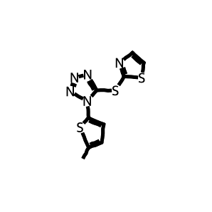 Cc1ccc(-n2nnnc2Sc2nccs2)s1